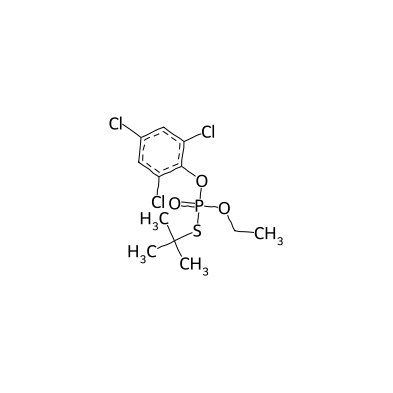 CCOP(=O)(Oc1c(Cl)cc(Cl)cc1Cl)SC(C)(C)C